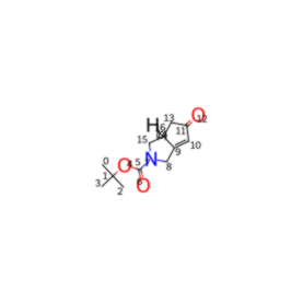 CC(C)(C)OC(=O)N1CC2=CC(=O)C[C@@H]2C1